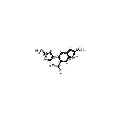 Cc1cc2cc(-c3cnn(C)c3)c(C(F)F)cc2[nH]1